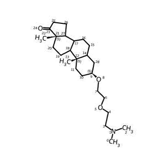 CN(C)CCOCCO[C@H]1CC[C@@]2(C)C(CCC3C2CC[C@]2(C)C(=O)CCC32)C1